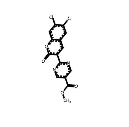 COC(=O)c1cnc(-c2cc3cc(Cl)c(Cl)cc3oc2=O)nc1